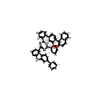 c1ccc(-c2ccc3c(c2)oc2cccc(-c4nc(-c5ccccc5)nc(-c5ccccc5-c5ccc6c(ccc7ccc8ccccc8c76)c5)n4)c23)cc1